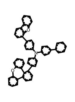 c1ccc(-c2ccc(N(c3ccc(-c4cccc5c4-c4ccccc4Oc4ccccc4-5)cc3)c3ccc(-c4cccc5c4oc4ccccc45)cc3)cc2)cc1